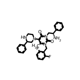 Cc1c(N2CCNC(c3ccccc3)C2)c(=O)n(C[C@H](N)c2ccccc2)c(=O)n1Cc1c(F)cccc1F